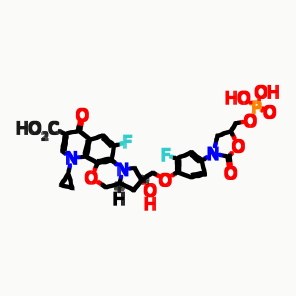 O=C(O)c1cn(C2CC2)c2c3c(c(F)cc2c1=O)N1C[C@](O)(COc2ccc(N4CC(COP(=O)(O)O)OC4=O)cc2F)C[C@H]1CO3